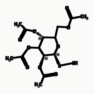 CC(=O)OCC1O[C@@H](SS)[C@@H](OC(C)=O)C(OC(C)=O)[C@@H]1OC(C)=O